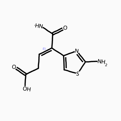 [NH]C(=O)/C(=C/CC(=O)O)c1csc(N)n1